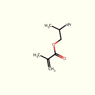 C=C(C)C(=O)OC[C](C)CCC